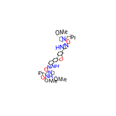 COC[C@H]1C[C@@H](c2ncc(-c3ccc4c(c3)COc3cc5c(ccc6nc([C@@H]7C[C@H](COC)CN7C(=O)[C@@H](NC(=O)OC)C(C)C)[nH]c65)cc3-4)[nH]2)N(C(=O)[CH]C(C)C)C1